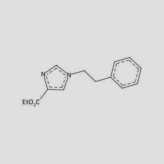 CCOC(=O)c1cn(CCc2ccccc2)cn1